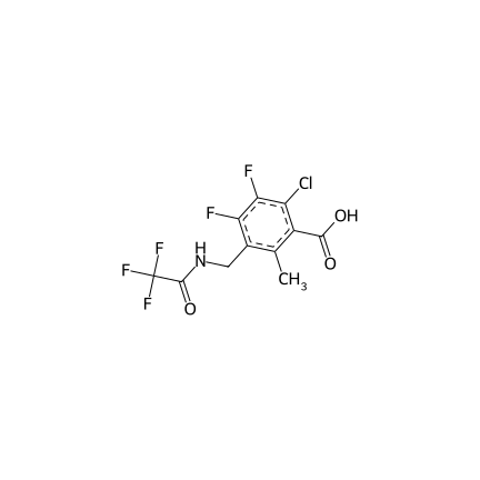 Cc1c(CNC(=O)C(F)(F)F)c(F)c(F)c(Cl)c1C(=O)O